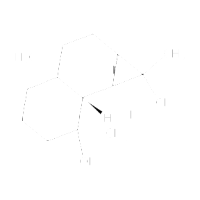 CC1(C)[C@@H]2[C@H]1CC[C@]1(C)CCC[C@](C)(O)[C@@H]21